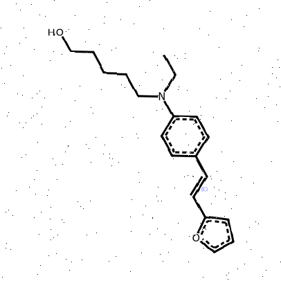 CCN(CCCCCO)c1ccc(/C=C/c2ccco2)cc1